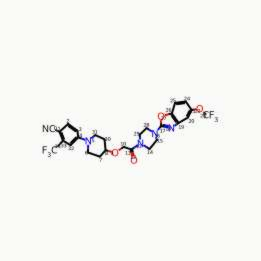 N#Cc1ccc(N2CCC(OCC(=O)N3CCN(c4nc5cc(OC(F)(F)F)ccc5o4)CC3)CC2)cc1C(F)(F)F